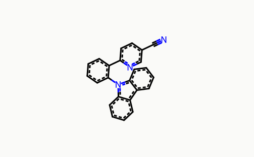 N#Cc1ccc(-c2ccccc2-n2c3ccccc3c3ccccc32)nc1